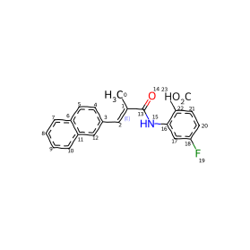 C/C(=C\c1ccc2ccccc2c1)C(=O)Nc1cc(F)ccc1C(=O)O